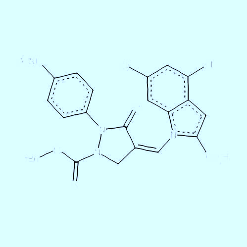 CC(=O)Nc1ccc(N2C(=O)C(=Cn3c(C(=O)O)cc4c(Cl)cc(Cl)cc43)CN2C(=O)OC(C)(C)C)cc1